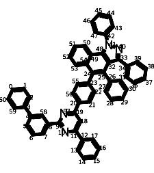 c1ccc(-c2cccc(-c3nc(-c4ccccc4)cc(-c4ccc(-c5c(-c6ccccc6)c6c(-c7ccccc7)nn(-c7ccccc7)c6c6ccccc56)cc4)n3)c2)cc1